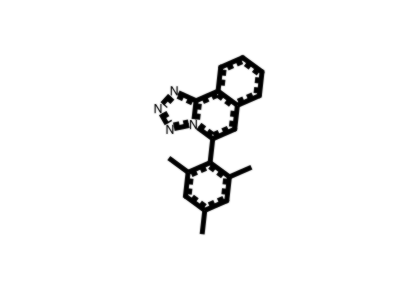 Cc1cc(C)c(-c2cc3ccccc3c3nnnn23)c(C)c1